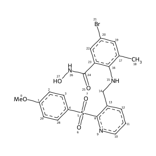 COc1ccc(S(=O)(=O)c2ncccc2CNc2c(C)cc(Br)cc2C(=O)NO)cc1